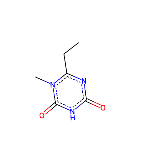 CCc1nc(=O)[nH]c(=O)n1C